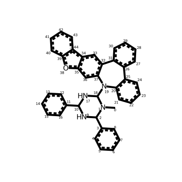 CN1C(c2ccccc2)NC(c2ccccc2)NC1N1c2ccccc2-c2ccccc2-c2cc3c(cc21)oc1ccccc13